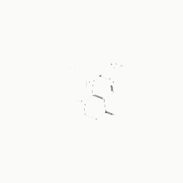 CCOC(=O)C1(SC)N=CC2=C(N1)N(C)CCC2=O